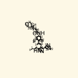 CC/C=C/c1[nH]nc(-c2cnn(C)c2)c1/C=C(\C)c1c(F)cc(NC(=O)CN2CC3(CCOCC3)C2)cc1F